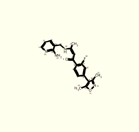 CC(=CC(=O)c1ccc(-c2c(C)noc2C)cc1F)NCc1cccnc1N